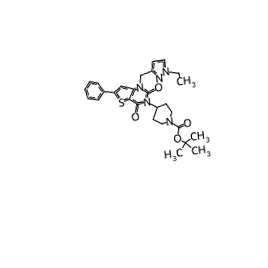 CCn1ccc(Cn2c(=O)n(C3CCN(C(=O)OC(C)(C)C)CC3)c(=O)c3sc(-c4ccccc4)cc32)n1